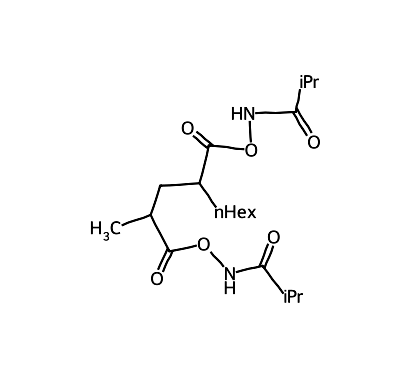 CCCCCCC(CC(C)C(=O)ONC(=O)C(C)C)C(=O)ONC(=O)C(C)C